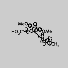 CCn1cc(C(=O)NCCCCCC(=O)N2CC(OC(=O)CCC(=O)O)CC2C(OCc2ccc(OC)cc2)(c2ccccc2)c2ccc(OC)cc2)c(=O)c2ccc(C)nc21